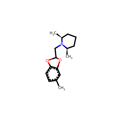 Cc1ccc2c(c1)OC(CN1[C@H](C)CCC[C@@H]1C)O2